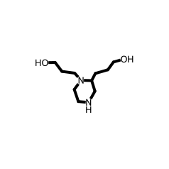 OCCCC1CNCCN1CCCO